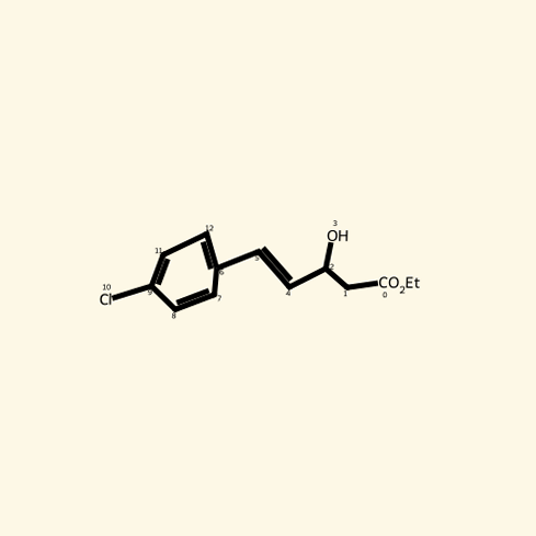 CCOC(=O)CC(O)C=Cc1ccc(Cl)cc1